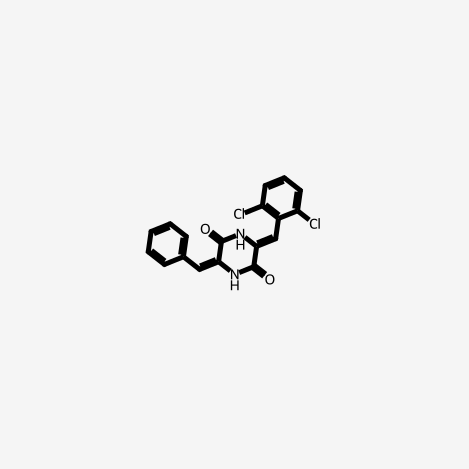 O=c1[nH]c(=Cc2c(Cl)cccc2Cl)c(=O)[nH]c1=Cc1ccccc1